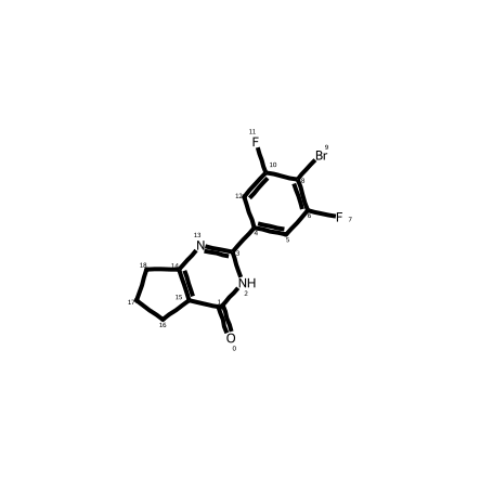 O=c1[nH]c(-c2cc(F)c(Br)c(F)c2)nc2c1CCC2